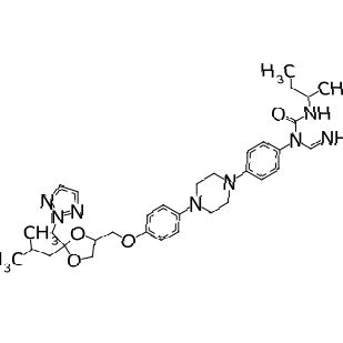 CCC(C)NC(=O)N(C=N)c1ccc(N2CCN(c3ccc(OCC4COC(CC(C)C)(Cn5nccn5)O4)cc3)CC2)cc1